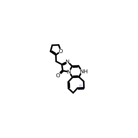 O=c1c(CC2=CCCO2)nc2c[nH]c3c(n1-2)C=CC/C=C/C3